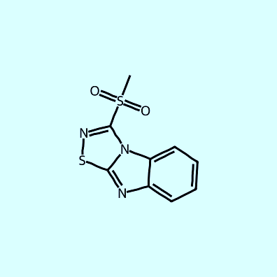 CS(=O)(=O)c1nsc2nc3ccccc3n12